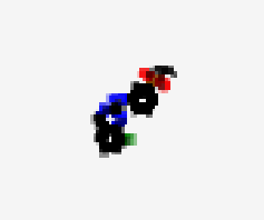 CS(=O)(=O)c1cccc(Nc2ncc3cccc(Cl)c3n2)c1